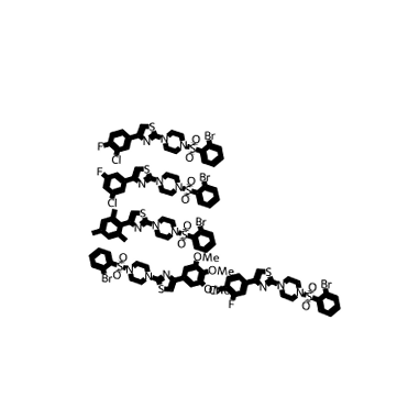 COc1cc(-c2csc(N3CCN(S(=O)(=O)c4ccccc4Br)CC3)n2)cc(OC)c1OC.Cc1cc(C)c(-c2csc(N3CCN(S(=O)(=O)c4ccccc4Br)CC3)n2)c(C)c1.O=S(=O)(c1ccccc1Br)N1CCN(c2nc(-c3cc(F)cc(Cl)c3)cs2)CC1.O=S(=O)(c1ccccc1Br)N1CCN(c2nc(-c3ccc(Cl)c(F)c3)cs2)CC1.O=S(=O)(c1ccccc1Br)N1CCN(c2nc(-c3ccc(F)c(Cl)c3)cs2)CC1